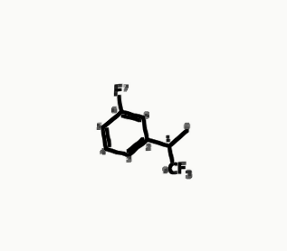 CC(c1cccc(F)c1)C(F)(F)F